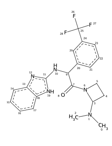 CN(C)C1CCN1C(=O)C(Nc1nc2ccccc2[nH]1)c1cccc(C(F)(F)F)c1